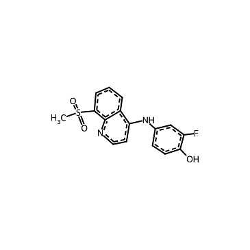 CS(=O)(=O)c1cccc2c(Nc3ccc(O)c(F)c3)ccnc12